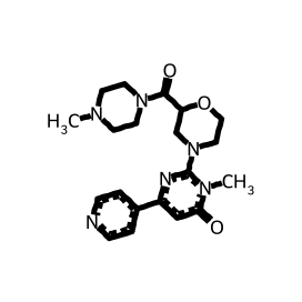 CN1CCN(C(=O)C2CN(c3nc(-c4ccncc4)cc(=O)n3C)CCO2)CC1